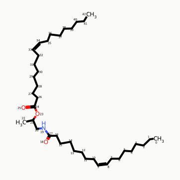 CCCCCCCC/C=C\CCCCCCCC(=O)NCC(C)OC(=O)CCCCCCC/C=C\CCCCCCCC